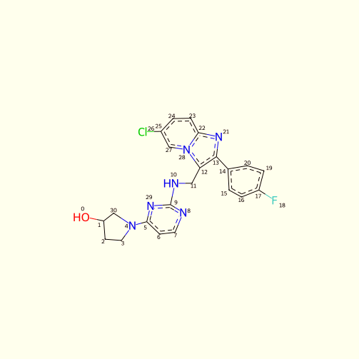 OC1CCN(c2ccnc(NCc3c(-c4ccc(F)cc4)nc4ccc(Cl)cn34)n2)C1